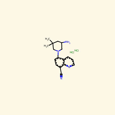 CC1(C)CC(N)CN(c2ccc(C#N)c3ncccc23)C1.Cl.Cl